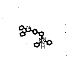 C1=CC(C2N=C(C3CCCC(C4C=CC(C5C=NC(C6CCCCC6)C(C6=CCCCC6)C5)=CC4)C3)N=C(C3=CCCCC3)N2)CCC1